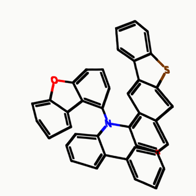 c1ccc(-c2ccccc2N(c2cccc3cc4sc5ccccc5c4cc23)c2cccc3oc4ccccc4c23)cc1